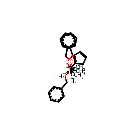 [CH3][Ti]([CH3])([CH3])([CH3])([CH3])([O]Cc1ccccc1)([O]Cc1ccccc1)([O]Cc1ccccc1)[C]1=CC=CC1